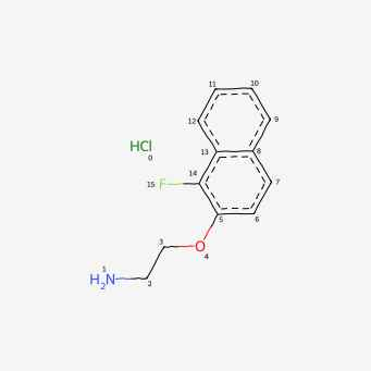 Cl.NCCOc1ccc2ccccc2c1F